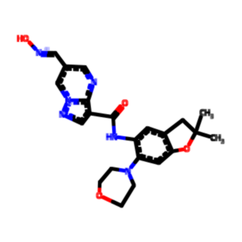 CC1(C)Cc2cc(NC(=O)c3cnn4cc(/C=N/O)cnc34)c(N3CCOCC3)cc2O1